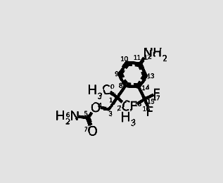 CC(C)(COC(N)=O)c1ccc(N)cc1C(F)(F)F